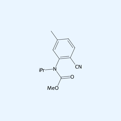 COC(=O)N(c1cc(C)ccc1C#N)C(C)C